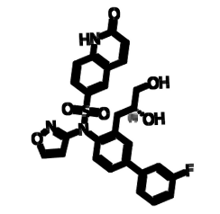 O=c1ccc2cc(S(=O)(=O)N(c3ccon3)c3ccc(-c4cccc(F)c4)cc3C[C@@H](O)CO)ccc2[nH]1